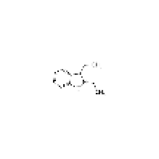 CCC1c2ccccc2ON1CC